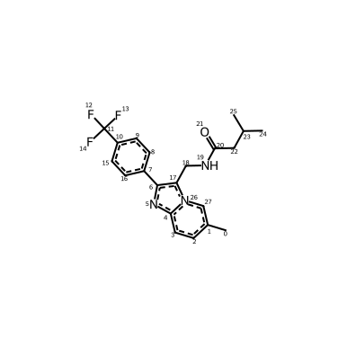 Cc1ccc2nc(-c3ccc(C(F)(F)F)cc3)c(CNC(=O)CC(C)C)n2c1